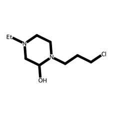 CCN1CCN(CCCCl)C(O)C1